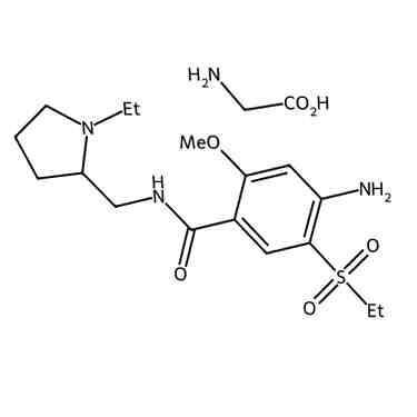 CCN1CCCC1CNC(=O)c1cc(S(=O)(=O)CC)c(N)cc1OC.NCC(=O)O